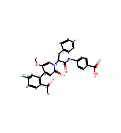 COc1cn(C(Cc2ccccc2)C(=O)Nc2ccc(C(=O)O)cc2)c(=O)cc1-c1cc(Cl)ccc1C(C)=O